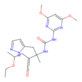 CCOC(C)CC(=C=O)C(C)(Cc1ccn[nH]1)NC(=O)Nc1nc(OC)cc(OC)n1